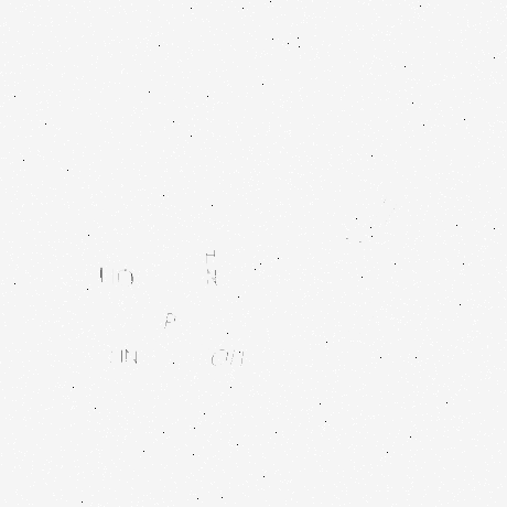 N=P(O)(O)Nc1cccc2ccccc12